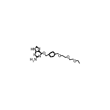 CCOCCOCCOCc1ccc(COc2nc(N)nc3[nH]cnc23)cc1